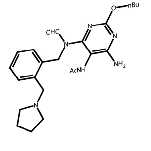 CCCCOc1nc(N)c(NC(C)=O)c(N(C=O)Cc2ccccc2CN2CCCC2)n1